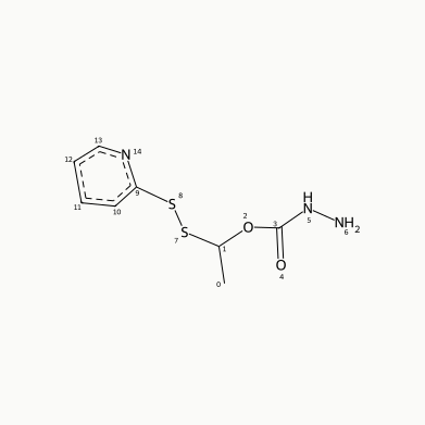 CC(OC(=O)NN)SSc1ccccn1